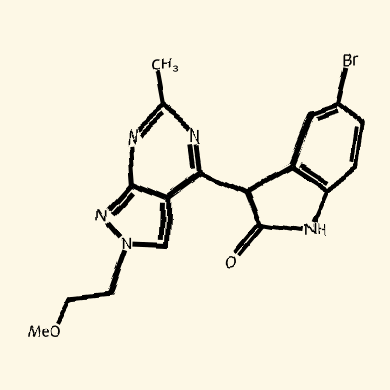 COCCn1cc2c(C3C(=O)Nc4ccc(Br)cc43)nc(C)nc2n1